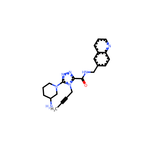 CC#CCn1c(C(=O)NCc2ccc3ncccc3c2)nnc1N1CCCC(N)C1